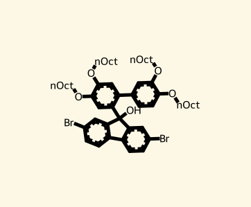 CCCCCCCCOc1ccc(-c2cc(OCCCCCCCC)c(OCCCCCCCC)cc2C2(O)c3cc(Br)ccc3-c3ccc(Br)cc32)cc1OCCCCCCCC